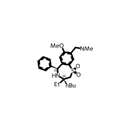 CCCC[C@]1(CC)CS(=O)(=O)c2cc(CNC)c(OC)cc2[C@H](c2ccccc2)N1